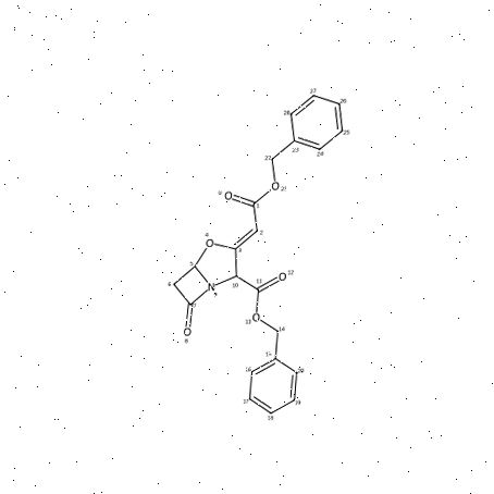 O=C(C=C1OC2CC(=O)N2C1C(=O)OCc1ccccc1)OCc1ccccc1